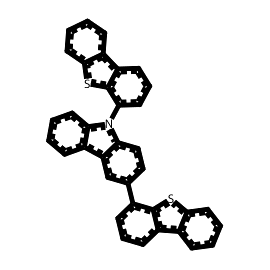 c1ccc2c(c1)sc1c(-c3ccc4c(c3)c3ccccc3n4-c3cccc4c3sc3ccccc34)cccc12